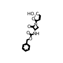 O=C(O)/C=C\C(=O)N1C[C@H](NC(=O)OCc2ccccc2)C1=O